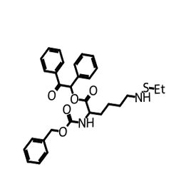 CCSNCCCCC(NC(=O)OCc1ccccc1)C(=O)OC(C(=O)c1ccccc1)c1ccccc1